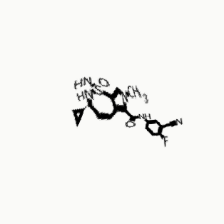 Cn1cc2c(c1C(=O)Nc1ccc(F)c(C#N)c1)C=C[C@H](C1CC1)NS2(=N)=O